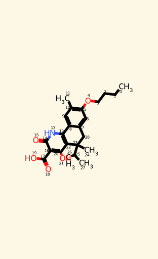 CCCCOc1cc2c(cc1C)-c1[nH]c(=O)c(C(=O)O)c(O)c1C(C)(C(C)C)C2